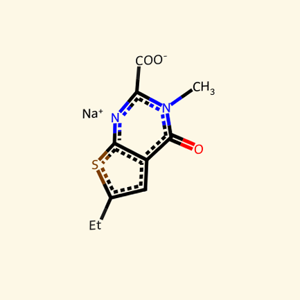 CCc1cc2c(=O)n(C)c(C(=O)[O-])nc2s1.[Na+]